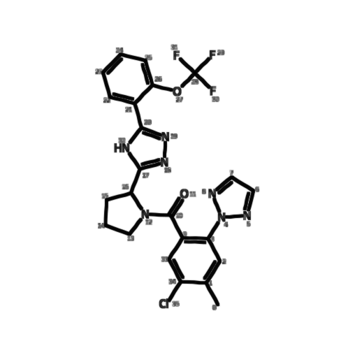 Cc1cc(-n2nccn2)c(C(=O)N2CCCC2c2nnc(-c3ccccc3OC(F)(F)F)[nH]2)cc1Cl